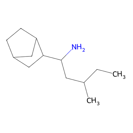 CCC(C)CC(N)C1CC2CCC1C2